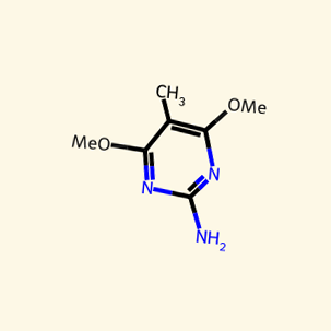 COc1nc(N)nc(OC)c1C